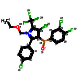 CCOCn1c(-c2ccc(Cl)cc2)c([S+]([O-])c2ccc(F)c(Cl)c2)c(Br)c1C(F)(F)F